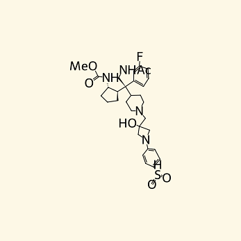 COC(=O)N[C@H]1CCC[C@@H]1[C@](CNC(C)=O)(c1cccc(F)c1)C1CCN(CC2(O)CN(c3ccc([SH](=O)=O)cc3)C2)CC1